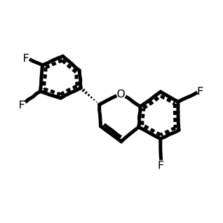 Fc1cc(F)c2c(c1)O[C@@H](c1ccc(F)c(F)c1)C=C2